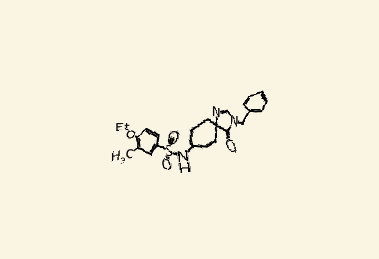 CCOc1ccc(S(=O)(=O)NC2CCC3(CC2)N=CN(Cc2ccccc2)C3=O)cc1C